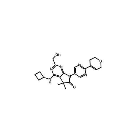 CC1(C)C(=O)N(c2cnc(C3=CCOCC3)nc2)c2nc(CO)nc(NC3CCC3)c21